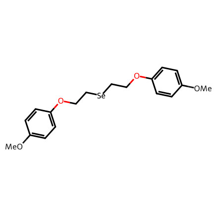 COc1ccc(OCC[Se]CCOc2ccc(OC)cc2)cc1